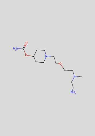 CN(CCN)CCOCCN1CCC(OC(N)=O)CC1